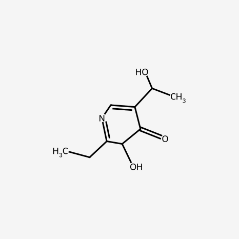 CCC1=NC=C(C(C)O)C(=O)C1O